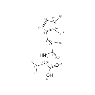 CC(C)[C@H](NC(=O)C1=Cc2ccn(C)c2CC1)C(=O)O